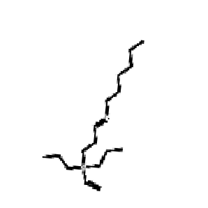 C=C[Si](CCC)(CCC)CCC=NCCCCCC